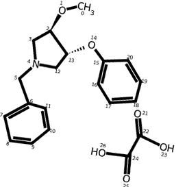 CO[C@@H]1CN(Cc2ccccc2)C[C@H]1Oc1ccccc1.O=C(O)C(=O)O